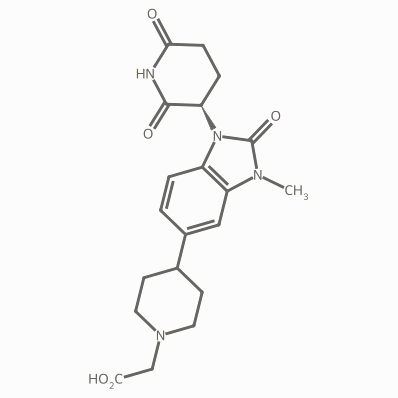 Cn1c(=O)n([C@@H]2CCC(=O)NC2=O)c2ccc(C3CCN(CC(=O)O)CC3)cc21